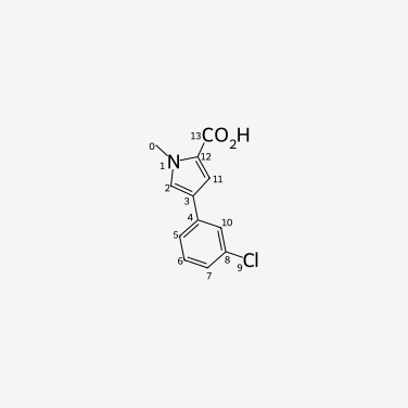 Cn1cc(-c2cccc(Cl)c2)cc1C(=O)O